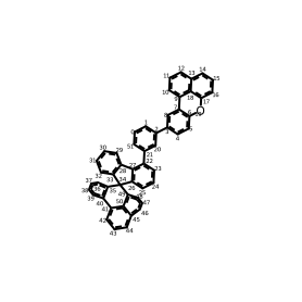 c1cc(-c2ccc3c(c2)-c2cccc4cccc(c24)O3)cc(-c2cccc3c2-c2ccccc2C32c3ccccc3-c3cccc4cccc2c34)c1